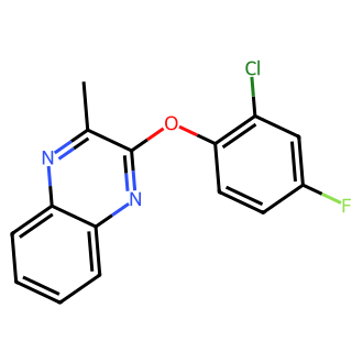 Cc1nc2ccccc2nc1Oc1ccc(F)cc1Cl